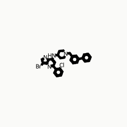 Clc1ccccc1C1=NC2=C(Br)C=NC2C(NC2CCN(Cc3cccc(-c4ccccc4)c3)CC2)=C1